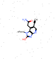 C#Cc1cnc2nc(O)n(CCCCC)c2c1CC(N)=O